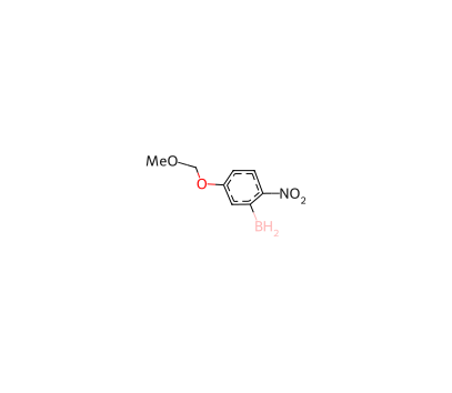 Bc1cc(OCOC)ccc1[N+](=O)[O-]